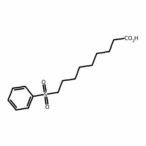 O=C(O)CCCCCCCCS(=O)(=O)c1ccccc1